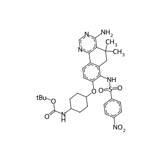 CC(C)(C)OC(=O)NC1CCC(Oc2ccc3c(c2NS(=O)(=O)c2ccc([N+](=O)[O-])cc2)CC(C)(C)c2c(N)ncnc2-3)CC1